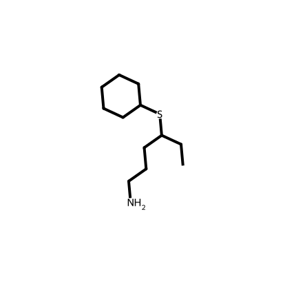 CCC(CCCN)SC1CCCCC1